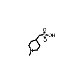 CN1CCC(CS(=O)(=O)O)CC1